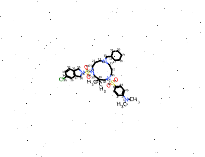 CN(C)c1ccc(S(=O)(=O)N2CCCN(CC3CCCCC3)CCCN(S(=O)(=O)N3Cc4ccc(Cl)cc4C3)CC(C)(C)C2)cc1